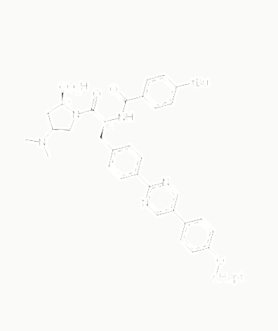 CCCCCCCOc1ccc(-c2cnc(-c3ccc(C[C@H](NC(=O)c4ccc(C(C)(C)C)cc4)C(=O)N4CC(N(C)C)C[C@H]4C(=O)O)cc3)nc2)cc1